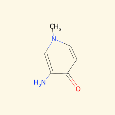 Cn1ccc(=O)c(N)c1